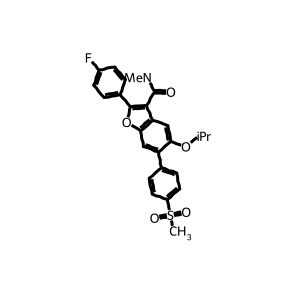 CNC(=O)c1c(-c2ccc(F)cc2)oc2cc(-c3ccc(S(C)(=O)=O)cc3)c(OC(C)C)cc12